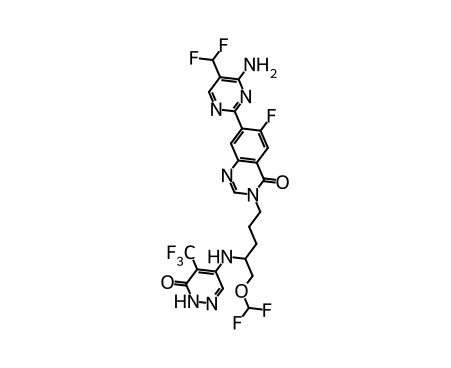 Nc1nc(-c2cc3ncn(CCCC(COC(F)F)Nc4cn[nH]c(=O)c4C(F)(F)F)c(=O)c3cc2F)ncc1C(F)F